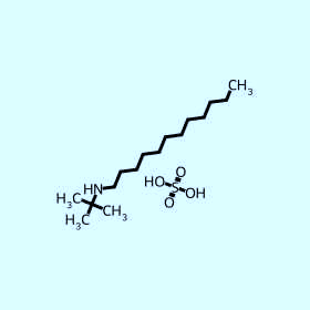 CCCCCCCCCCCCNC(C)(C)C.O=S(=O)(O)O